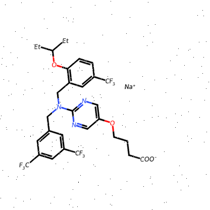 CCC(CC)Oc1ccc(C(F)(F)F)cc1CN(Cc1cc(C(F)(F)F)cc(C(F)(F)F)c1)c1ncc(OCCCC(=O)[O-])cn1.[Na+]